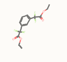 CCOC(=O)C(F)(F)c1cccc(C(F)(F)C(=O)OCC)c1